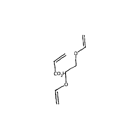 C=CC(=O)O.C=COCCOC=C